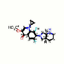 O=C(O)Oc1cn(C2CC2)c2c(F)c(N3C[C@@H]4CCCN[C@@H]4C3)c(F)cc2c1=O